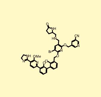 COc1nc(-c2cccc(-c3cccc(COc4nc(OCc5cncc(C#N)c5)c(CNCC5CCC(=O)N5)cc4Br)c3Cl)c2Cl)ccc1C1=NCCN1